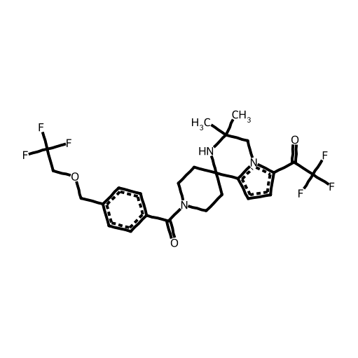 CC1(C)Cn2c(C(=O)C(F)(F)F)ccc2C2(CCN(C(=O)c3ccc(COCC(F)(F)F)cc3)CC2)N1